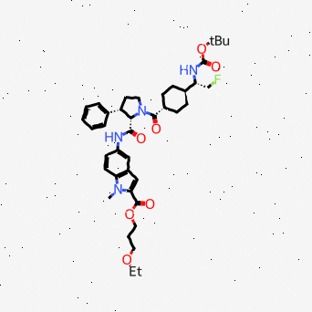 CCOCCCOC(=O)c1cc2cc(NC(=O)[C@@H]3[C@H](c4ccccc4)CCN3C(=O)[C@H]3CC[C@H]([C@@H](CF)NC(=O)OC(C)(C)C)CC3)ccc2n1C